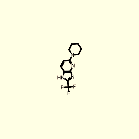 FC(F)(F)c1nc2nc(N3CCCCC3)ccc2[nH]1